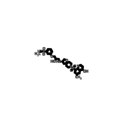 CNS(=O)(=O)c1cccc(OCC(O)CN[C@H]2COC3(CCN(S(=O)(=O)c4cc(C)cc5c(O)ccnc45)CC3)C2)c1